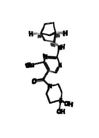 CC(C)(C)c1nc(N[C@@H]2C[C@H]3CC[C@@H]2C3)ncc1C(=O)N1CCS(O)(O)CC1